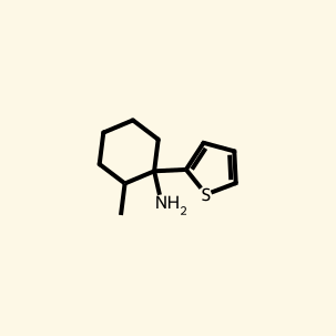 CC1CCCCC1(N)c1cccs1